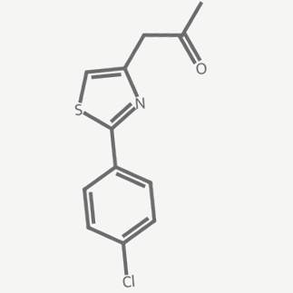 CC(=O)Cc1csc(-c2ccc(Cl)cc2)n1